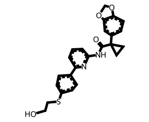 O=C(Nc1cccc(-c2ccc(SCCO)cc2)n1)C1(c2ccc3c(c2)OCO3)CC1